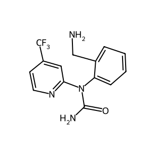 NCc1ccccc1N(C(N)=O)c1cc(C(F)(F)F)ccn1